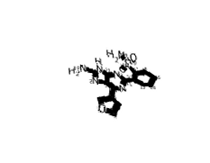 Nc1nc2c(-c3ccoc3)nc(-c3ccccc3S(N)(=O)=O)nc2[nH]1